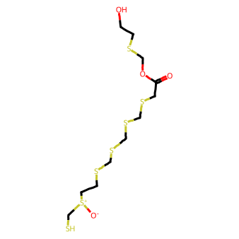 O=C(CSCSCSCSCC[S+]([O-])CS)OCSCCO